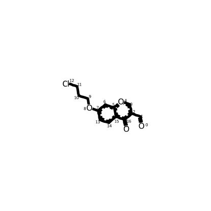 O=Cc1coc2cc(OCCCCl)ccc2c1=O